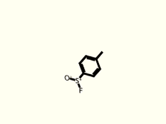 Cc1ccc([S+]([O-])F)cc1